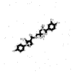 CCN(CC(O)(CNC(=O)c1cnn(-c2ccc(F)cc2)c1N)C(F)(F)F)C(=O)c1ccc(F)c(F)c1